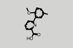 COc1ccc(C)cc1-c1cccc(C(=O)O)n1